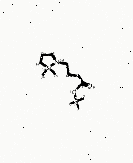 C[Si](C)(C)OC(=O)CCCN1CCC[Si]1(C)C